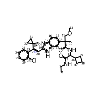 CCNC(=O)C(NC(=O)C(C)(COC)c1ccc2nc(/C=C(/c3ccccc3Cl)C3(C)CC3)[nH]c2c1)C1CCC1